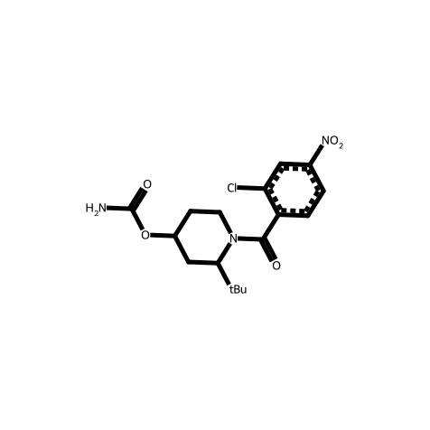 CC(C)(C)C1CC(OC(N)=O)CCN1C(=O)c1ccc([N+](=O)[O-])cc1Cl